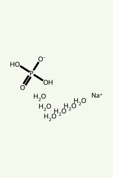 O.O.O.O.O.O.O=P([O-])(O)O.[Na+]